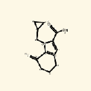 O=C(O)c1cc2c(n1CC1CC1)C(=O)CCC2